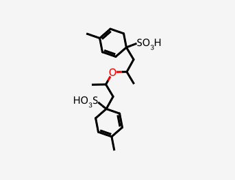 CC1=CCC(CC(C)OC(C)CC2(S(=O)(=O)O)C=CC(C)=CC2)(S(=O)(=O)O)C=C1